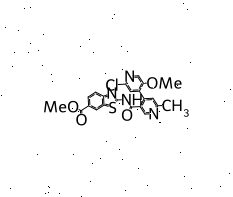 COC(=O)c1ccc2nc(NC(=O)c3cnc(C)cc3-c3cc(Cl)ncc3OC)sc2c1